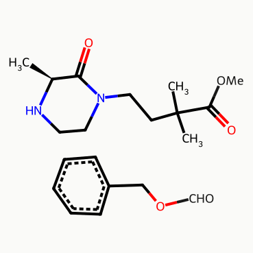 COC(=O)C(C)(C)CCN1CCN[C@@H](C)C1=O.O=COCc1ccccc1